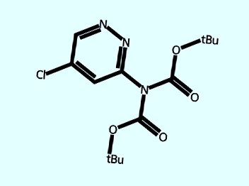 CC(C)(C)OC(=O)N(C(=O)OC(C)(C)C)c1cc(Cl)cnn1